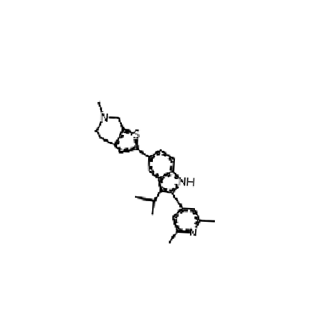 Cc1cc(-c2[nH]c3ccc(-c4cc5c(s4)CN(C)CC5)cc3c2C(C)C)cc(C)n1